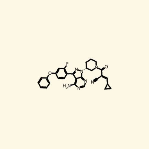 N#C/C(=C\C1CC1)C(=O)N1CCC[C@@H](n2nc(-c3ccc(Oc4ccccc4)cc3F)c3c(N)ncnc32)C1